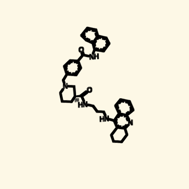 O=C(Nc1cccc2ccccc12)c1ccc(CN2CCC[C@H](C(=O)NCCCNc3c4c(nc5ccccc35)CCCC4)C2)cc1